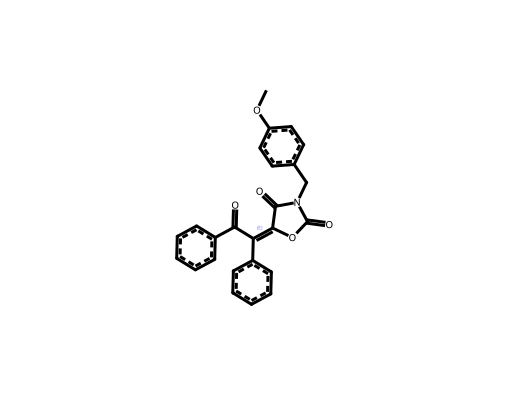 COc1ccc(CN2C(=O)O/C(=C(/C(=O)c3ccccc3)c3ccccc3)C2=O)cc1